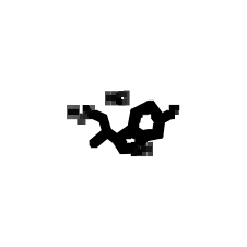 CC(CN)c1c[nH]c2cc(F)ccc12.Cl